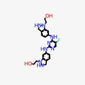 OCCN1NCc2ccc(Nc3ncc(F)c(Nc4ccc5c(c4)N(CCO)NC5)n3)cc21